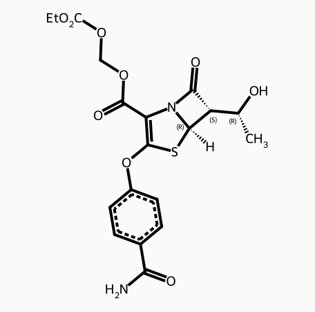 CCOC(=O)OCOC(=O)C1=C(Oc2ccc(C(N)=O)cc2)S[C@@H]2[C@@H]([C@@H](C)O)C(=O)N12